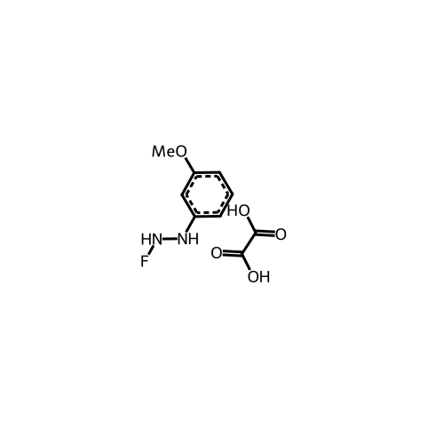 COc1cccc(NNF)c1.O=C(O)C(=O)O